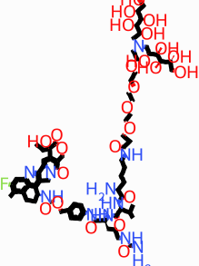 CC[C@@]1(O)C(=O)OCc2c1cc1n(c2=O)Cc2c-1nc1cc(F)c(C)c3c1c2[C@@H](NC(=O)OCc1ccc(NC(=O)[C@H](CCCNC(N)=O)NC(=O)[C@@H](NC(=O)[C@@H](N)CCCCNC(=O)CCOCCOCCOCCOCCN(C[C@H](O)[C@@H](O)[C@H](O)[C@H](O)CO)C[C@H](O)[C@@H](O)[C@H](O)[C@H](O)CO)C(C)C)cc1)CC3